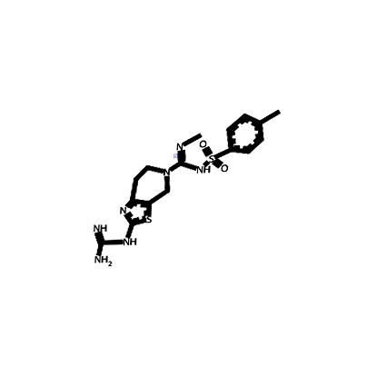 C/N=C(\NS(=O)(=O)c1ccc(C)cc1)N1CCc2nc(NC(=N)N)sc2C1